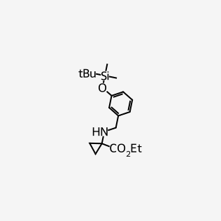 CCOC(=O)C1(NCc2cccc(O[Si](C)(C)C(C)(C)C)c2)CC1